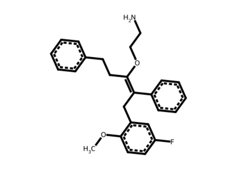 COc1ccc(F)cc1C/C(=C(\CCc1ccccc1)OCCN)c1ccccc1